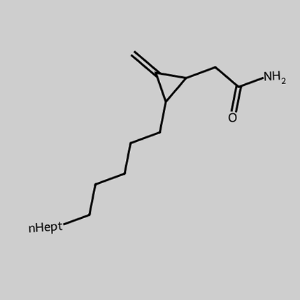 C=C1C(CCCCCCCCCCCC)C1CC(N)=O